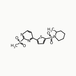 CC1CCCCN1S(=O)(=O)c1ccc(-c2ccnc(S(C)(=O)=O)n2)s1